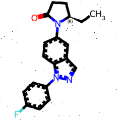 CC[C@@H]1CCC(=O)N1c1ccc2c(cnn2-c2ccc(F)cc2)c1